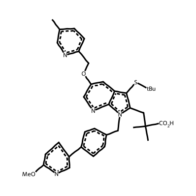 COc1ccc(-c2ccc(Cn3c(CC(C)(C)C(=O)O)c(SC(C)(C)C)c4cc(OCc5ccc(C)cn5)cnc43)cc2)cn1